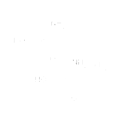 NC(=O)O.NC(=O)O.[TeH2]